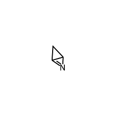 C1C2=NC12